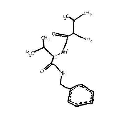 CC(C)C(N)C(=O)N[C@H](C(=O)NCc1ccccc1)C(C)C